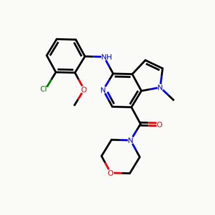 COc1c(Cl)cccc1Nc1ncc(C(=O)N2CCOCC2)c2c1ccn2C